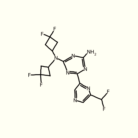 Nc1nc(-c2cncc(C(F)F)n2)nc(N(C2CC(F)(F)C2)C2CC(F)(F)C2)n1